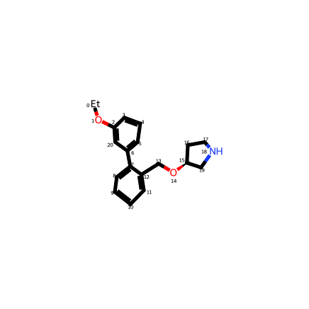 CCOc1cccc(-c2ccccc2CO[C@H]2CCNC2)c1